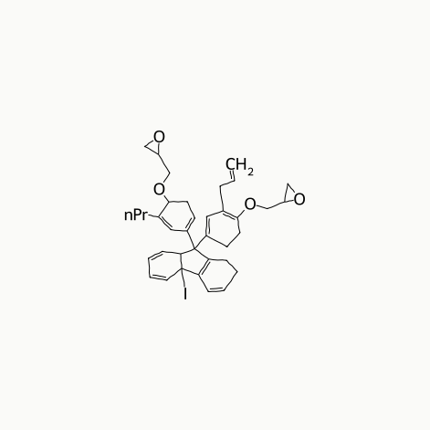 C=CCC1=C(OCC2CO2)CCC(C2(C3=CCC(OCC4CO4)C(CCC)=C3)C3=C(C=CCC3)C3(I)C=CC=CC32)=C1